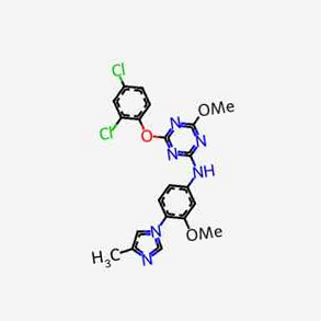 COc1nc(Nc2ccc(-n3cnc(C)c3)c(OC)c2)nc(Oc2ccc(Cl)cc2Cl)n1